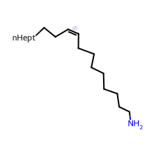 CCCCCCCCC/C=C\CCCCCCCCN